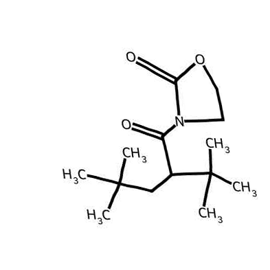 CC(C)(C)CC(C(=O)N1CCOC1=O)C(C)(C)C